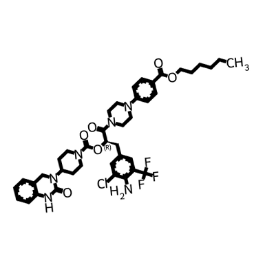 CCCCCCOC(=O)c1ccc(N2CCN(C(=O)[C@@H](Cc3cc(Cl)c(N)c(C(F)(F)F)c3)OC(=O)N3CCC(N4Cc5ccccc5NC4=O)CC3)CC2)cc1